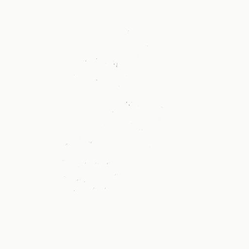 C/C(=C\C=C(/C)N(C1=CC2C(C=C1)c1ccccc1N2c1ccccc1)c1ccc2ccccc2c1)c1cccc2c1-c1ccccc1C2(C)C